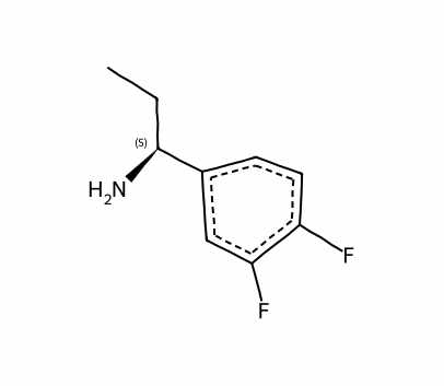 CC[C@H](N)c1ccc(F)c(F)c1